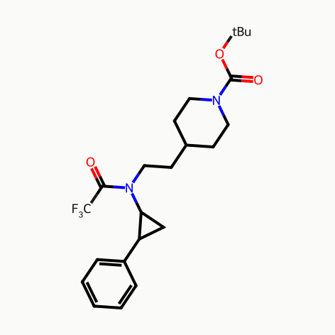 CC(C)(C)OC(=O)N1CCC(CCN(C(=O)C(F)(F)F)C2CC2c2ccccc2)CC1